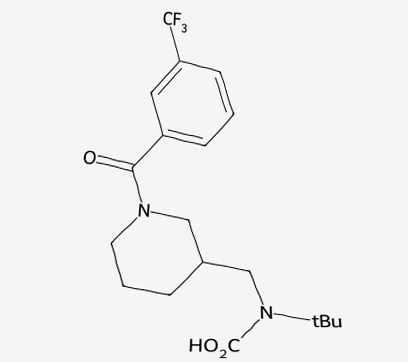 CC(C)(C)N(CC1CCCN(C(=O)c2cccc(C(F)(F)F)c2)C1)C(=O)O